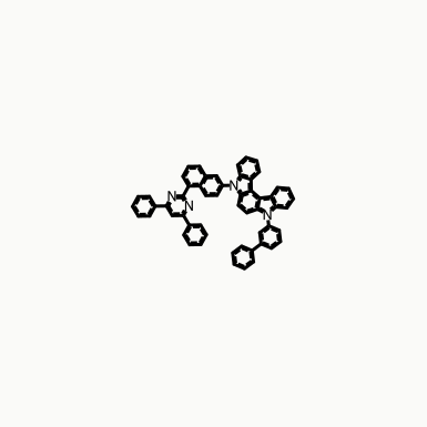 c1ccc(-c2cccc(-n3c4ccccc4c4c5c6ccccc6n(-c6ccc7c(-c8nc(-c9ccccc9)cc(-c9ccccc9)n8)cccc7c6)c5ccc43)c2)cc1